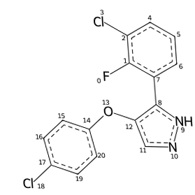 Fc1c(Cl)cccc1-c1[nH]ncc1Oc1ccc(Cl)cc1